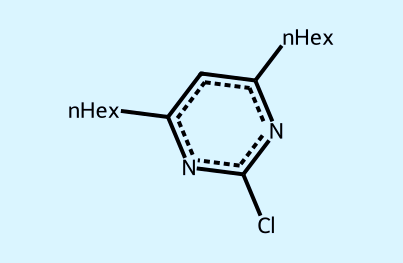 CCCCCCc1cc(CCCCCC)nc(Cl)n1